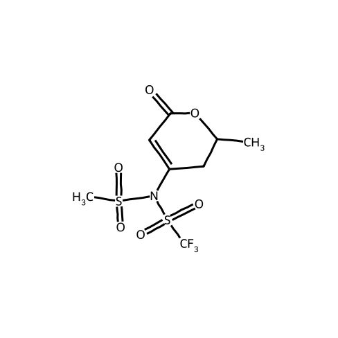 CC1CC(N(S(C)(=O)=O)S(=O)(=O)C(F)(F)F)=CC(=O)O1